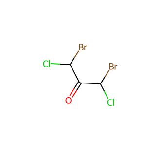 O=C(C(Cl)Br)C(Cl)Br